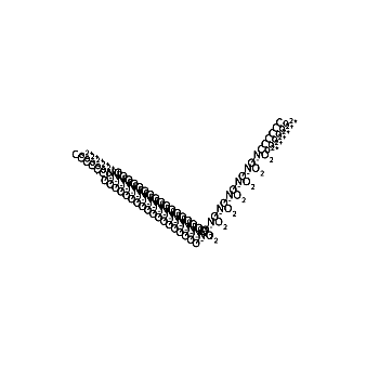 O=[N+]([O-])[O-].O=[N+]([O-])[O-].O=[N+]([O-])[O-].O=[N+]([O-])[O-].O=[N+]([O-])[O-].O=[N+]([O-])[O-].O=[N+]([O-])[O-].O=[N+]([O-])[O-].O=[N+]([O-])[O-].O=[N+]([O-])[O-].O=[N+]([O-])[O-].O=[N+]([O-])[O-].O=[N+]([O-])[O-].O=[N+]([O-])[O-].O=[N+]([O-])[O-].O=[N+]([O-])[O-].O=[N+]([O-])[O-].O=[N+]([O-])[O-].O=[N+]([O-])[O-].O=[N+]([O-])[O-].O=[N+]([O-])[O-].O=[N+]([O-])[O-].O=[N+]([O-])[O-].O=[N+]([O-])[O-].[Co+2].[Co+2].[Co+2].[Co+2].[Co+2].[Co+2].[Co+2].[Co+2].[Co+2].[Co+2].[Co+2].[Co+2]